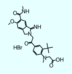 Br.CNC(=O)c1cc2c(cc1OC)CN(CC(=O)c1ccc(N(C)CC(=O)O)c(C(C)(C)C)c1)C2=N